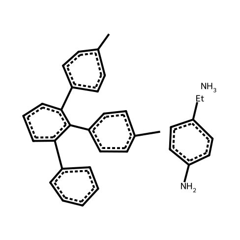 CCc1ccc(N)cc1.Cc1ccc(-c2cccc(-c3ccccc3)c2-c2ccc(C)cc2)cc1.N